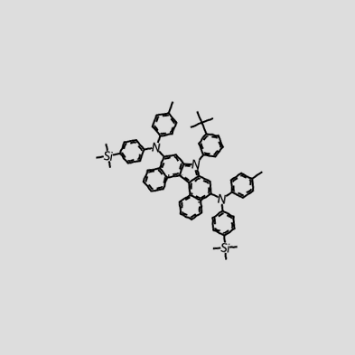 Cc1ccc(N(c2ccc([Si](C)(C)C)cc2)c2cc3c(c4ccccc24)c2c4ccccc4c(N(c4ccc(C)cc4)c4ccc([Si](C)(C)C)cc4)cc2n3-c2cccc(C(C)(C)C)c2)cc1